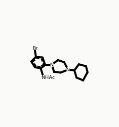 CC(=O)Nc1ccc(Br)cc1N1CCN(C2CCCCC2)CC1